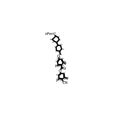 CCCCCC1CCC(C2CCC(COc3cc(F)c(C(=O)Oc4cc(F)c(C#N)c(F)c4)c(F)c3)CC2)CC1